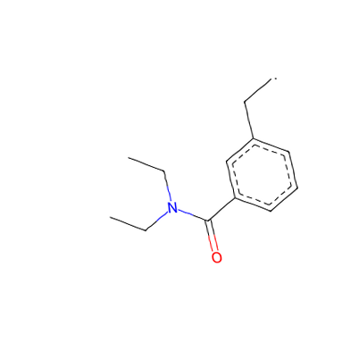 [CH2]Cc1cccc(C(=O)N(CC)CC)c1